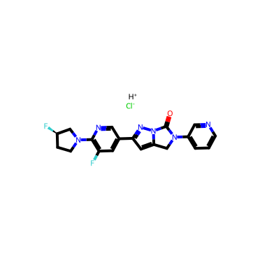 O=C1N(c2cccnc2)Cc2cc(-c3cnc(N4CC[C@@H](F)C4)c(F)c3)nn21.[Cl-].[H+]